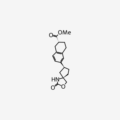 COC(=O)[C@@H]1CCc2cc([C@H]3CC[C@]4(COC(=O)N4)C3)ccc2C1